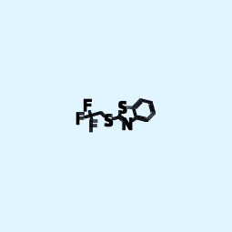 FC(F)(F)CSc1nc2ccccc2s1